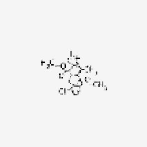 CCOC(=O)C1=C(C)NC(C)=C(C(=O)OCC)C1Cc1ccccc1Cl